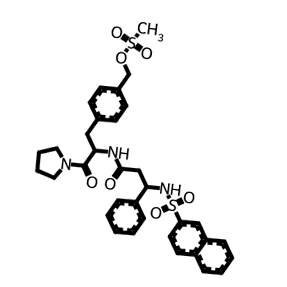 CS(=O)(=O)OCc1ccc(CC(NC(=O)CC(NS(=O)(=O)c2ccc3ccccc3c2)c2ccccc2)C(=O)N2CCCC2)cc1